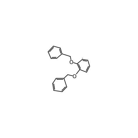 [c]1cccc(OCc2ccccc2)c1OCc1ccccc1